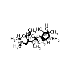 B[C@@H]1[C@H]2C[C@@]2(OC(C)(C)[PH](=C)C(C[PH](=C)CC)[PH](=C)CC)[C@@H](O)[C@@]1(C)O